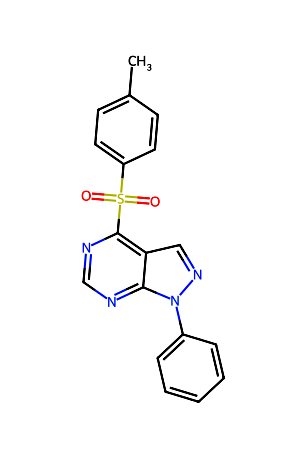 Cc1ccc(S(=O)(=O)c2ncnc3c2cnn3-c2ccccc2)cc1